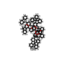 CC(C)(C)C1=CC2C(C=C1)c1ccc(C(C)(C)C)cc1C21c2ccccc2-c2ccc(N(c3ccccc3C3=CC=CC4C3c3ccccc3C4(C)Cc3cc(N(c4ccc(-n5c6ccccc6c6ccccc65)cc4)c4ccccc4-c4cccc5c4-c4ccccc4C5(C)C)cc4c3-c3ccccc3C4(c3ccccc3)c3ccccc3)c3cccc4c3c3ccccc3n4-c3ccccc3)cc21